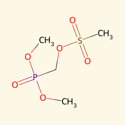 COP(=O)(COS(C)(=O)=O)OC